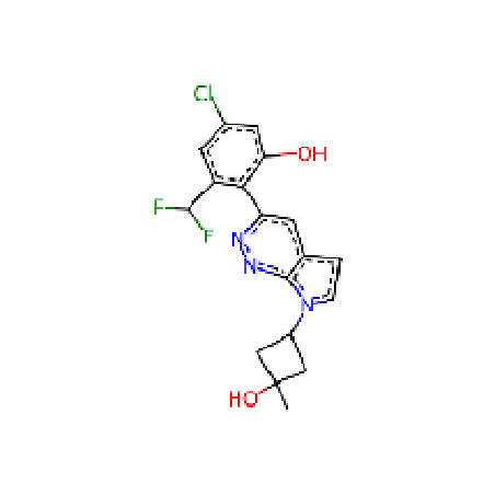 CC1(O)CC(n2ccc3cc(-c4c(O)cc(Cl)cc4C(F)F)nnc32)C1